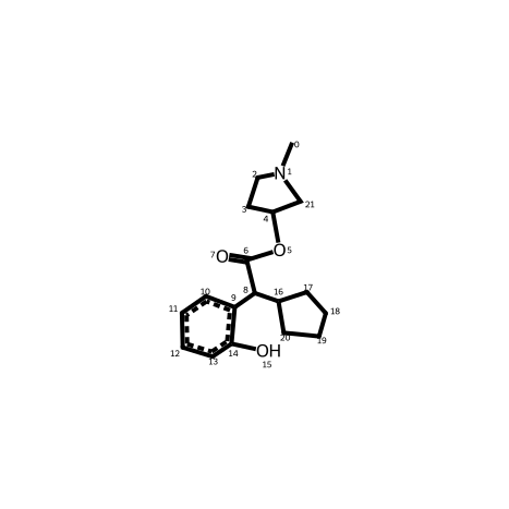 CN1CCC(OC(=O)C(c2ccccc2O)C2CCCC2)C1